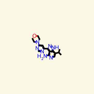 CC(C)c1cnc(N)c2c(-c3cc(N4CCOCC4)ncn3)n[nH]c12